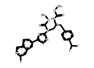 CC(C)(C)OC(=O)N[C@@H](Cc1ccc(C(F)F)cc1)CN(C(=O)OC(C)(C)C)c1ncc(-c2ccc3cnc(F)cc3c2)s1